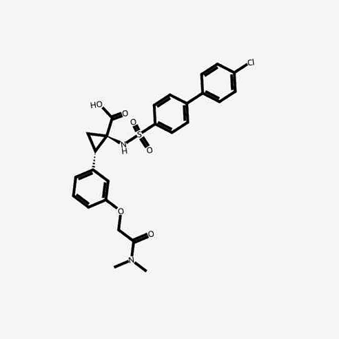 CN(C)C(=O)COc1cccc([C@@H]2C[C@]2(NS(=O)(=O)c2ccc(-c3ccc(Cl)cc3)cc2)C(=O)O)c1